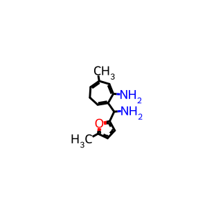 CC1=CCC=C(C(N)c2ccc(C)o2)C(N)=C1